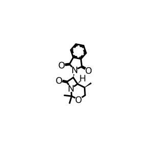 C[C@H]1COC(C)(C)N2C(=O)[C@H](N3C(=O)c4ccccc4C3=O)[C@@H]12